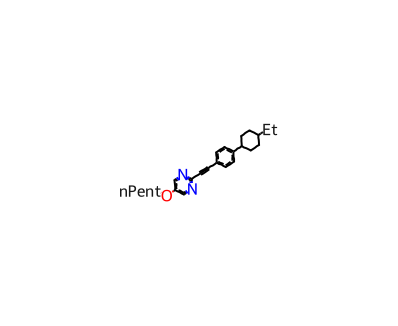 CCCCCOc1cnc(C#Cc2ccc(C3CCC(CC)CC3)cc2)nc1